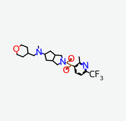 Cc1nc(C(F)(F)F)ccc1S(=O)(=O)N1CC2CC(N(C)CC3CCOCC3)CC2C1